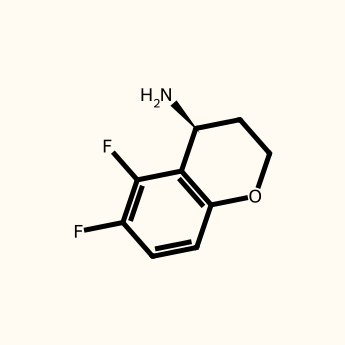 N[C@H]1CCOc2ccc(F)c(F)c21